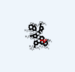 CC(C)(C)c1ccc(N2c3cc(C(C)(C)C)ccc3B3c4oc5ccc(C(C)(C)C)cc5c4N(c4ccc5c(c4)C(C)(C)CCC5(C)C)c4cc(C(C)(C)C)cc2c43)c(-c2ccc3c(c2)C(C)(C)CCC3(C)C)c1